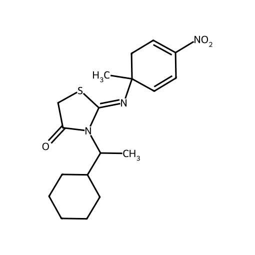 CC(C1CCCCC1)N1C(=O)CSC1=NC1(C)C=CC([N+](=O)[O-])=CC1